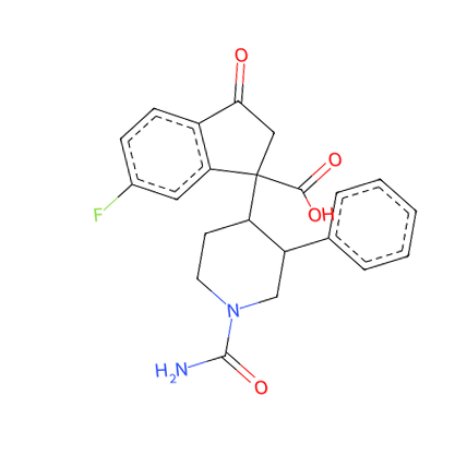 NC(=O)N1CCC(C2(C(=O)O)CC(=O)c3ccc(F)cc32)C(c2ccccc2)C1